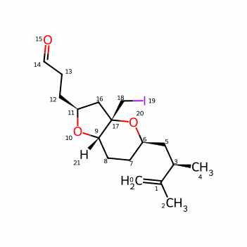 C=C(C)[C@H](C)C[C@H]1CC[C@@H]2O[C@@H](CCC=O)C[C@]2(CI)O1